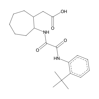 CC(C)(C)c1ccccc1NC(=O)C(=O)NC1CCCCCC1CC(=O)O